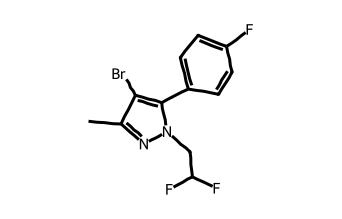 Cc1nn(CC(F)F)c(-c2ccc(F)cc2)c1Br